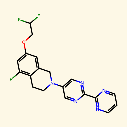 Fc1cc(OCC(F)F)cc2c1CCN(c1cnc(-c3ncccn3)nc1)C2